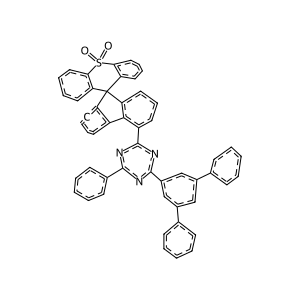 O=S1(=O)c2ccccc2C2(c3ccccc3-c3c(-c4nc(-c5ccccc5)nc(-c5cc(-c6ccccc6)cc(-c6ccccc6)c5)n4)cccc32)c2ccccc21